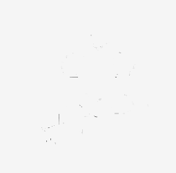 CN(C)[C@H]1CCN2[C@H](COC(c3ccccc3)(c3ccccc3)c3ccccc3)[C@H](c3ccc(Br)cc3)[C@@H]2CNC1